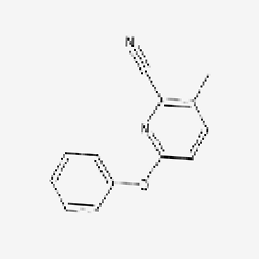 Cc1ccc(Oc2ccccc2)nc1C#N